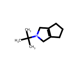 CC(C)(C)N1CC2=C(CCC2)C1